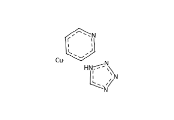 [Cu].c1ccncc1.c1nnn[nH]1